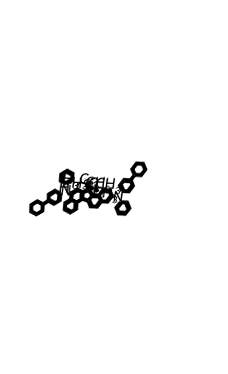 C[Si](C)(C)C1([Si](C)(C)C)c2cc(N(c3ccccc3)c3ccc(C4CCCCC4)cc3)c3ccccc3c2-c2ccc3cc(N(c4ccccc4)c4ccc(C5CCCCC5)cc4)ccc3c21